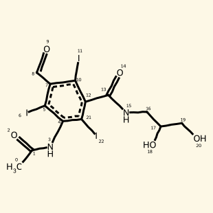 CC(=O)Nc1c(I)c(C=O)c(I)c(C(=O)NCC(O)CO)c1I